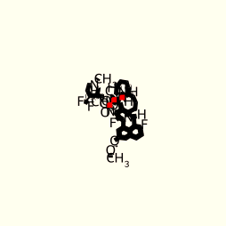 C#Cc1c(F)ccc2cc(OCOC)cc(-c3nc4c5c(nc(OC[C@]6(C)CN(C)CC[C@@H]6C(F)F)nc5c3F)N3C[C@H]5CC[C@@H]([C@H]3CCC4)N5Cc3oc(=O)oc3C)c12